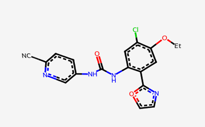 CCOc1cc(-c2ncco2)c(NC(=O)Nc2ccc(C#N)nc2)cc1Cl